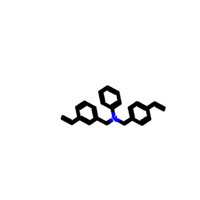 C=Cc1ccc(CN(Cc2cccc(C=C)c2)c2ccccc2)cc1